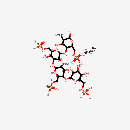 CC(=O)NC1C(O)OC(COS(=O)(=O)[O-])C(OC2OC(COS(=O)(=O)[O-])C(O)C(OC3OC(COS(=O)(=O)[O-])C(OC4OC(COS(=O)(=O)[O-])C(O)C(O)C4O)C(O)C3NC(C)=O)C2O)C1O.[Na+].[Na+].[Na+].[Na+]